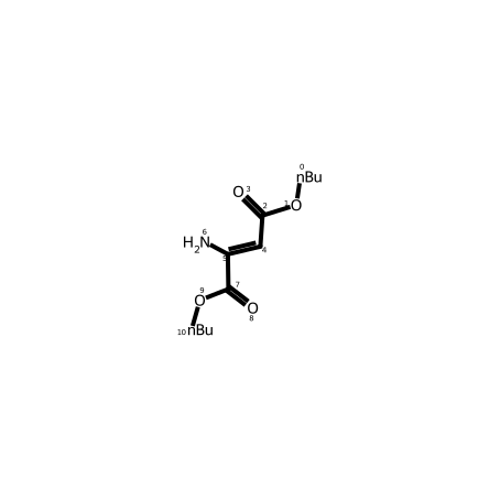 CCCCOC(=O)/C=C(\N)C(=O)OCCCC